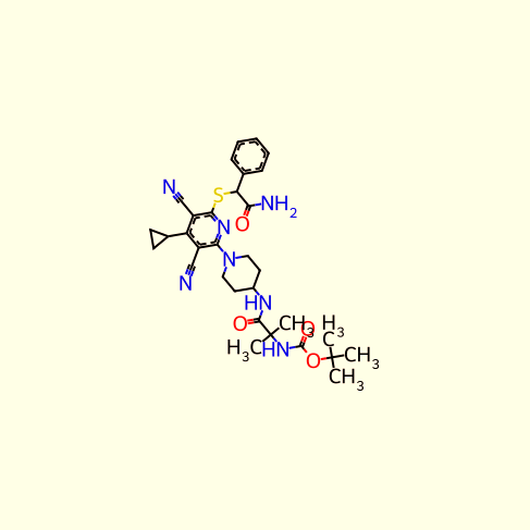 CC(C)(C)OC(=O)NC(C)(C)C(=O)NC1CCN(c2nc(SC(C(N)=O)c3ccccc3)c(C#N)c(C3CC3)c2C#N)CC1